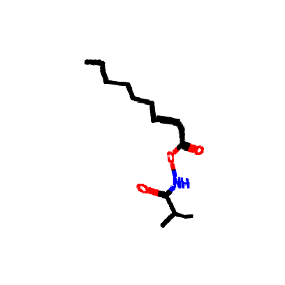 CCCCCCC=CC(=O)ONC(=O)C(C)C